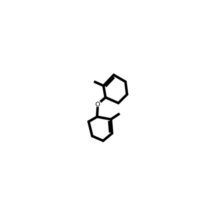 CC1=CCCCC1OC1CCCC=C1C